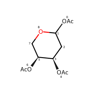 CC(=O)OC1C[C@@H](OC(C)=O)[C@@H](OC(C)=O)CO1